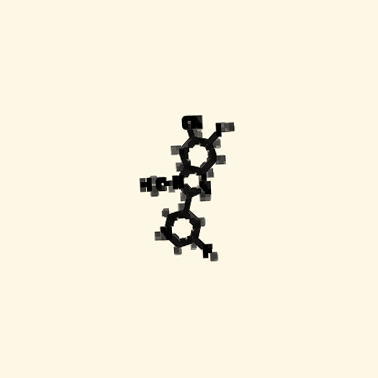 Cn1c(-c2cncc(F)c2)nc2cc(F)c(C#N)cc21